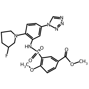 COC(=O)c1ccc(OC)c(S(=O)(=O)Nc2cc(-n3cnnn3)ccc2N2CCCC(F)C2)c1